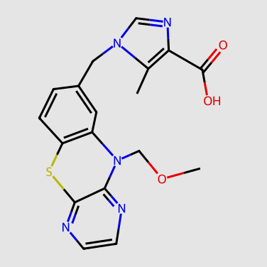 COCN1c2cc(Cn3cnc(C(=O)O)c3C)ccc2Sc2nccnc21